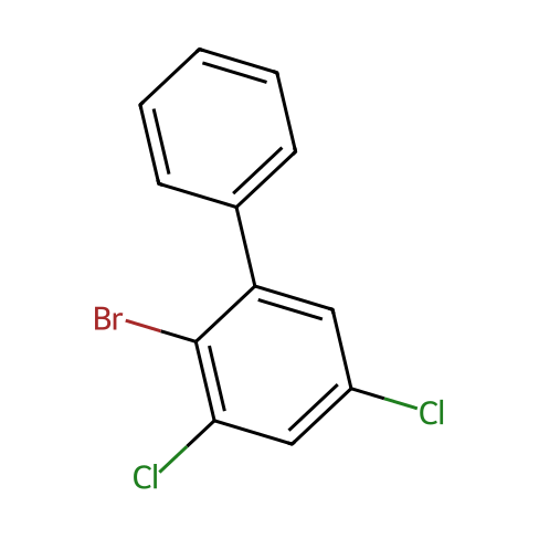 Clc1cc(Cl)c(Br)c(-c2ccccc2)c1